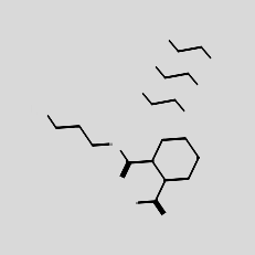 CCCCOC(=O)C1CCCCC1C(=O)O.OCCO.OCCO.OCCO